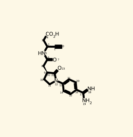 C#CC(CC(=O)O)NC(=O)C[C@@H]1CCN(c2ccc(C(=N)N)cc2)C1=O